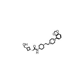 O=C(C[C@H]1C[C@H](CO)C1)N[C@H]1CC[C@H](CCN2CCN(c3cccc4c3OCO4)CC2)CC1